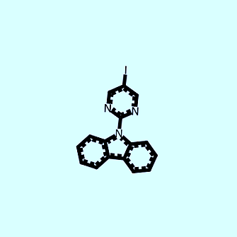 Ic1cnc(-n2c3ccccc3c3ccccc32)nc1